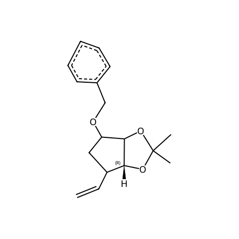 C=CC1CC(OCc2ccccc2)C2OC(C)(C)O[C@H]12